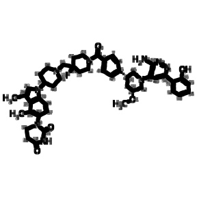 CO[C@@H]1C[C@H](c2ccc(C(=O)N3CCC(F)(CN4CCC(n5cc(C)c6c(C)c(N7CCC(=O)NC7=O)ccc65)CC4)CC3)cc2)CN(c2cc(-c3ccccc3O)nnc2N)C1